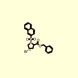 O=C(OCc1ccccc1)C1C[C@H](Br)CN1S(=O)(=O)c1ccc2ccccc2c1